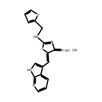 Cl.Cl.O=C1N=C(NCc2ccco2)SC1=Cc1c[nH]c2ncccc12